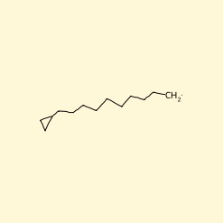 [CH2]CCCCCCCCCC1CC1